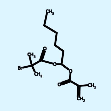 C=C(C)C(=O)OC(CCCCC)OC(=O)C(C)(C)Br